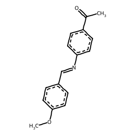 COc1ccc(C=Nc2ccc(C(C)=O)cc2)cc1